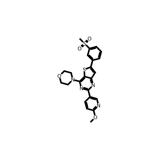 COc1ccc(-c2nc(N3CCOCC3)c3sc(-c4cccc(S(C)(=O)=O)c4)cc3n2)cn1